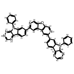 c1ccc(-n2c3cc(-c4cc5c(cn4)oc4cnc(-c6ccc7c8ncnnc8n(-c8ccccc8)c7c6)cc45)ccc3c3ncnnc32)cc1